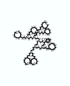 O=C(O)CCN(CCCN(CCCN(CCCC1CCCCCCCCC1)CCCC1CCCCCCCC1)CCCN(CCCC1CCCCCCCC1)CCCC1CCCCCCC1)CCCN(CCCN(CCCC1CCCCCCCC1)CCCC1CCCCCCCC1)CCCN(CCCC1CCCCCCCCC1)CCCC1CCCCC1